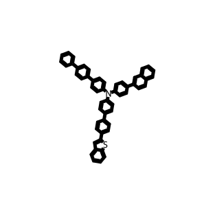 c1ccc(-c2ccc(-c3ccc(N(c4ccc(-c5ccc(-c6cc7ccccc7s6)cc5)cc4)c4ccc(-c5ccc6ccccc6c5)cc4)cc3)cc2)cc1